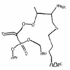 CCCCCCCCCCCCCSC(CCCCCCC)C(C)OOC(=O)P(=O)(OCCC)OCC(C)(C)C